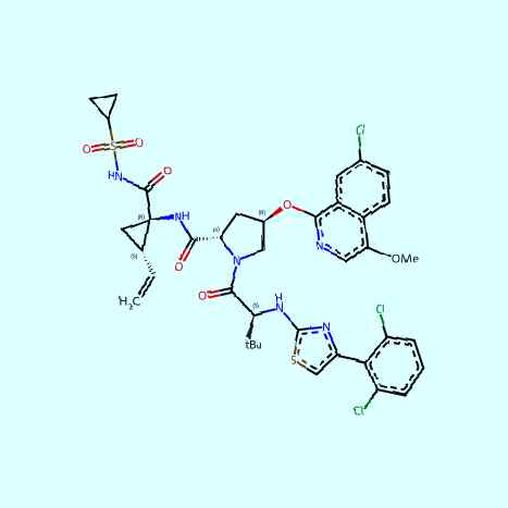 C=C[C@@H]1C[C@]1(NC(=O)[C@@H]1C[C@@H](Oc2ncc(OC)c3ccc(Cl)cc23)CN1C(=O)[C@@H](Nc1nc(-c2c(Cl)cccc2Cl)cs1)C(C)(C)C)C(=O)NS(=O)(=O)C1CC1